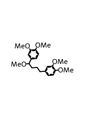 COc1ccc(CCCC(OC)c2ccc(OC)c(OC)c2)cc1OC